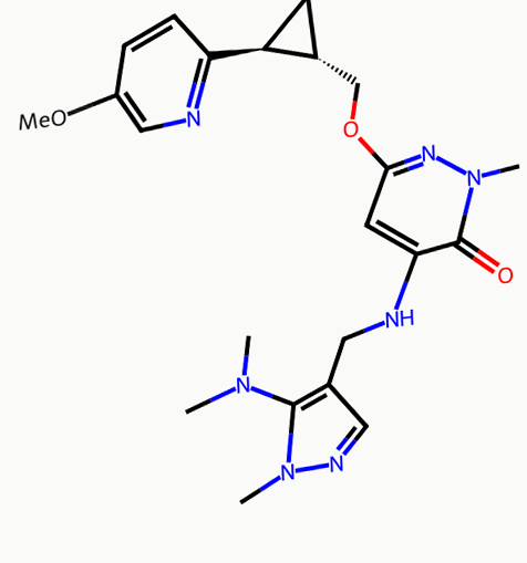 COc1ccc([C@H]2C[C@@H]2COc2cc(NCc3cnn(C)c3N(C)C)c(=O)n(C)n2)nc1